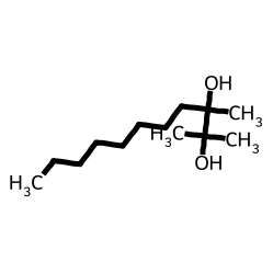 CCCCCCCCC(C)(O)C(C)(C)O